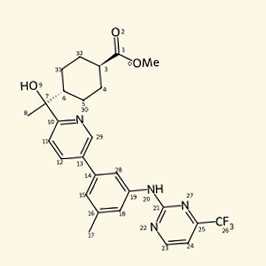 COC(=O)[C@H]1CC[C@H](C(C)(O)c2ccc(-c3cc(C)cc(Nc4nccc(C(F)(F)F)n4)c3)cn2)CC1